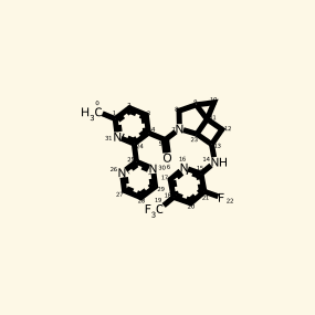 Cc1ccc(C(=O)N2CC3CC34CC(Nc3ncc(C(F)(F)F)cc3F)C24)c(-c2ncccn2)n1